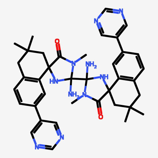 CN1C(=O)C2(CC(C)(C)Cc3ccc(-c4cncnc4)cc32)NC1(N)C1(N)NC2(CC(C)(C)Cc3ccc(-c4cncnc4)cc32)C(=O)N1C